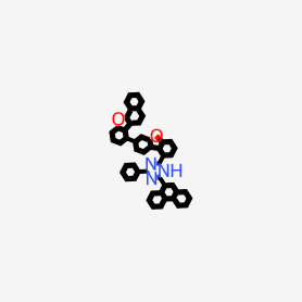 c1ccc(C2=NC(c3cccc4oc5cc(-c6cccc7oc8c9ccccc9ccc8c67)ccc5c34)NC(c3cc4ccccc4c4ccccc34)=N2)cc1